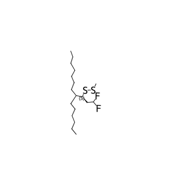 CCCCCCCC(CCCCCC)[C@H](CC(F)F)SSC